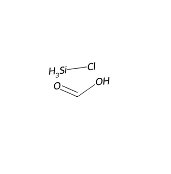 O=CO.[SiH3]Cl